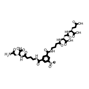 NC(=O)C[C@@H](NC(=O)CCCNC(=O)c1cc(C(=O)NCCCC(=O)N[C@H](CC(=O)N[C@@H](CCC(=O)O)C(=O)O)C(=O)O)cc([N+](=O)[O-])c1)C(=O)O